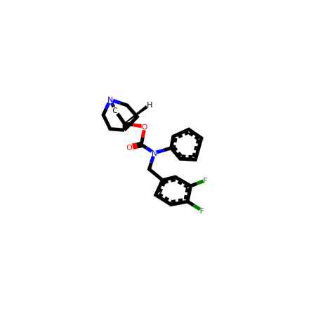 O=C(O[C@H]1CN2CCC1CC2)N(Cc1ccc(F)c(F)c1)c1ccccc1